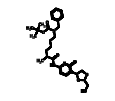 CC(CCCCN(Cc1ccccc1)C(=O)OC(C)(C)C)C(=O)Nc1ccn(C2COC(CO)O2)c(=O)n1